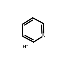 [H+].[c]1ccncc1